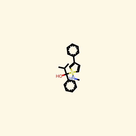 CNS1(C(O)(c2ccccc2)C(C)C)C=CC(c2ccccc2)=C1